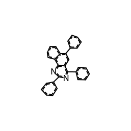 c1ccc(-c2nc(-c3ccccc3)c3cc(-c4ccccc4)c4ccccc4c3n2)cc1